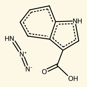 O=C(O)c1c[nH]c2ccccc12.[N-]=[N+]=N